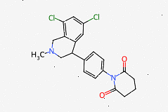 CN1Cc2c(Cl)cc(Cl)cc2C(c2ccc(N3C(=O)CCCC3=O)cc2)C1